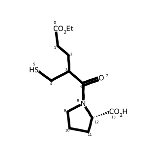 CCOC(=O)CCC(CS)C(=O)N1CCC[C@H]1C(=O)O